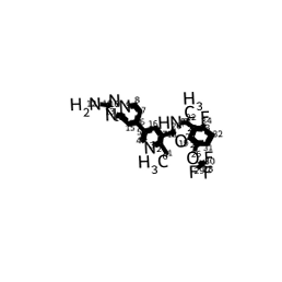 CCc1ncc(-c2ccn3nc(N)nc3c2)cc1C(=O)N[C@@H](C)c1cc(OC(F)(F)F)ccc1F